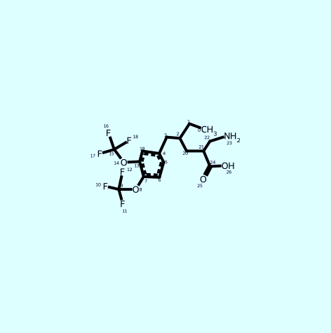 CCC(Cc1ccc(OC(F)(F)F)c(OC(F)(F)F)c1)CC(CN)C(=O)O